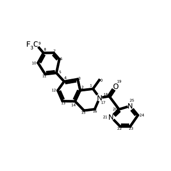 CC1c2cc(-c3ccc(C(F)(F)F)cc3)ccc2CCN1C(=O)c1ncccn1